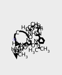 CC(C)n1c(O[C@@H]2C[C@H]3C(=O)N[C@]4(C(=O)NS(=O)(=O)C5(C)CC5)C[C@H]4/C=C\CCCCC[C@H](NC(=O)OC(C)(C)C)C(=O)N3C2)nc2c(-c3csc(C(F)(F)F)n3)cccc21